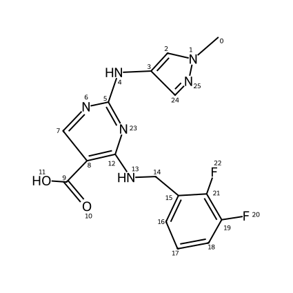 Cn1cc(Nc2ncc(C(=O)O)c(NCc3cccc(F)c3F)n2)cn1